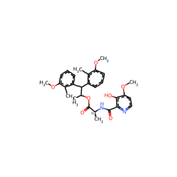 COc1cccc(C(c2cccc(OC)c2C)C(C)OC(=O)[C@H](C)NC(=O)c2nccc(OC)c2O)c1C